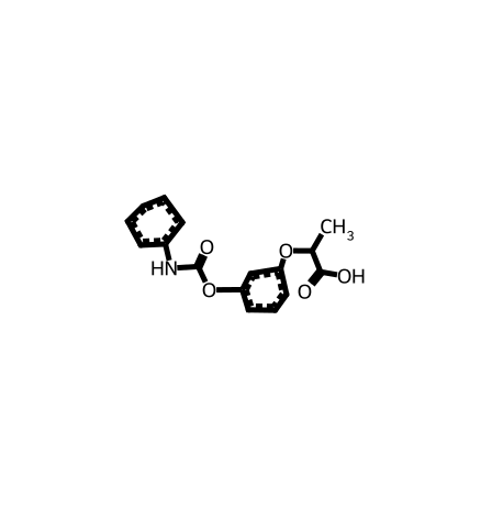 CC(Oc1cccc(OC(=O)Nc2ccccc2)c1)C(=O)O